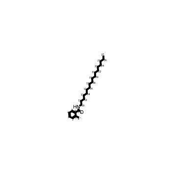 [CH2]c1ccccc1C(=O)NCCCCCCCCCCCCCCCCCC